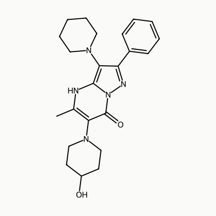 Cc1[nH]c2c(N3CCCCC3)c(-c3ccccc3)nn2c(=O)c1N1CCC(O)CC1